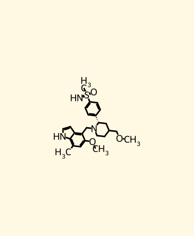 COCC1CCN(Cc2c(OC)cc(C)c3[nH]ccc23)[C@H](c2ccc(S(C)(=N)=O)cc2)C1